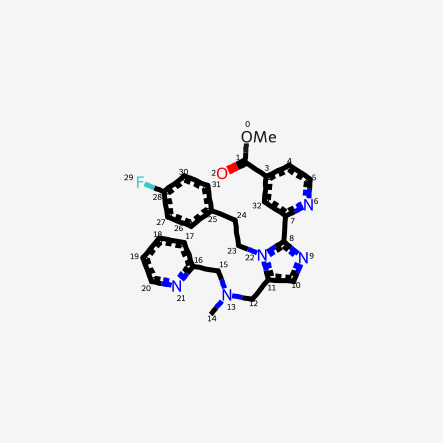 COC(=O)c1ccnc(-c2ncc(CN(C)Cc3ccccn3)n2CCc2ccc(F)cc2)c1